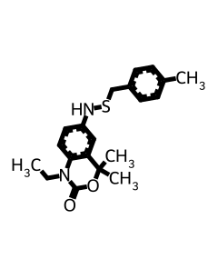 CCN1C(=O)OC(C)(C)c2cc(NSCc3ccc(C)cc3)ccc21